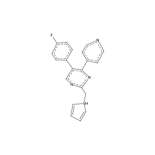 Fc1ccc(-c2cnc(C[SH]3C=CC=C3)nc2-c2ccncc2)cc1